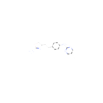 NC1=NC(CCc2ccc(Nc3ncc(Cl)cn3)cc2)CO1